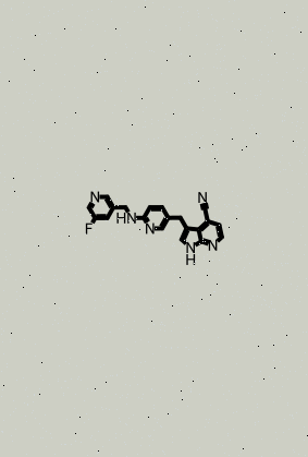 N#Cc1ccnc2[nH]cc(Cc3ccc(NCc4cncc(F)c4)nc3)c12